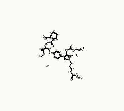 C=CCOC(=O)Nc1c(-c2ccc(OCC(ON3C(=O)c4ccccc4C3=O)C(=O)OC(C)(C)C)cc2)cn(CCCNC(=O)OC(C)(C)C)[n+]1C.[I-]